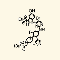 CCS(=O)(=O)Nc1cc(O)ccc1Nc1nc(Nc2cc(F)c(N3CCC(O)(CC(=O)OC(C)(C)C)CC3)c(-c3cn[nH]c3)c2)ncc1Br